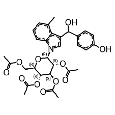 CC(=O)OC[C@H]1O[C@@H](n2cc(C(O)c3ccc(O)cc3)c3c(C)cccc32)[C@H](OC(C)=O)[C@@H](OC(C)=O)[C@@H]1OC(C)=O